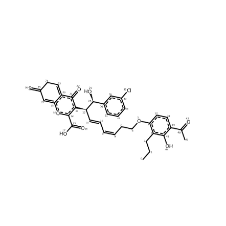 CCCc1c(OCC/C=C\C=C\[C@@H](c2c(C(=O)O)oc3c(c2=O)=CCC(=S)C=3)[C@@H](O)c2cccc(Cl)c2)ccc(C(C)=O)c1O